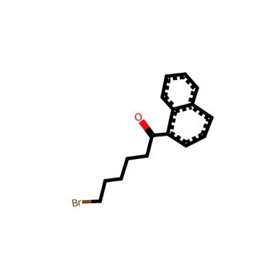 O=C(CCCCCBr)c1cccc2ccccc12